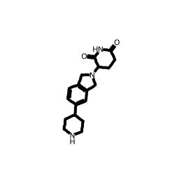 O=C1CCC(N2Cc3ccc(C4CCNCC4)cc3C2)C(=O)N1